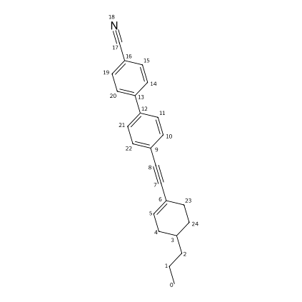 CCCC1CC=C(C#Cc2ccc(-c3ccc(C#N)cc3)cc2)CC1